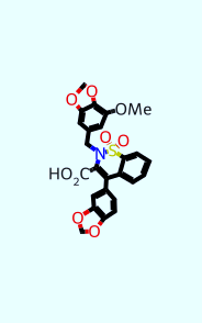 COc1cc(CN2C(C(=O)O)=C(c3ccc4c(c3)OCO4)c3ccccc3S2(=O)=O)cc2c1OCO2